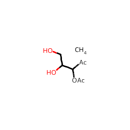 C.CC(=O)OC(C(C)=O)C(O)CO